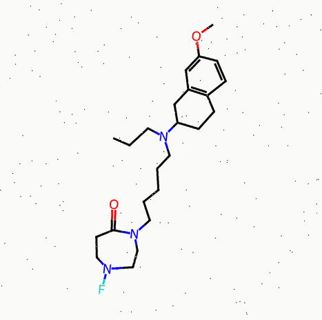 CCCN(CCCCCN1CCN(F)CCC1=O)C1CCc2ccc(OC)cc2C1